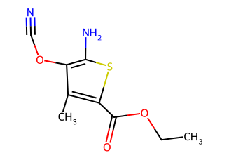 CCOC(=O)c1sc(N)c(OC#N)c1C